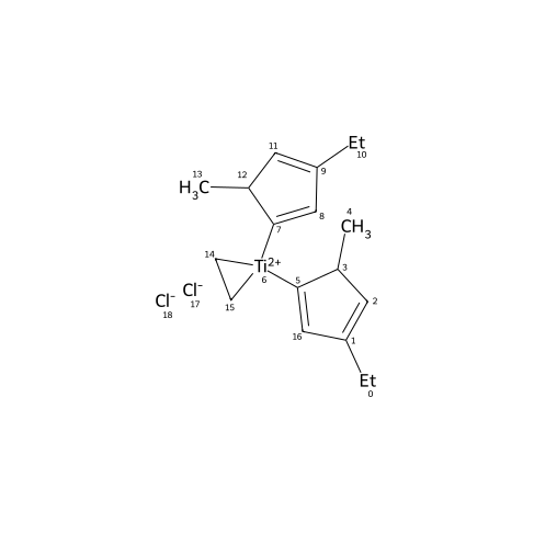 CCC1=CC(C)[C]([Ti+2]2([C]3=CC(CC)=CC3C)[CH2][CH2]2)=C1.[Cl-].[Cl-]